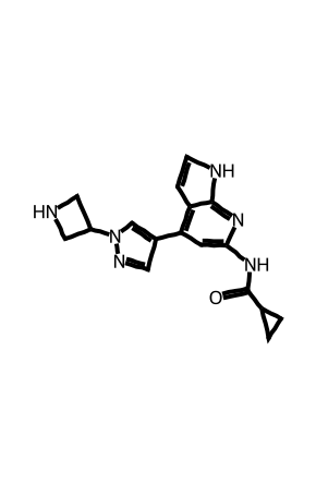 O=C(Nc1cc(-c2cnn(C3CNC3)c2)c2cc[nH]c2n1)C1CC1